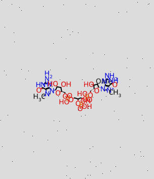 CO[C@@H]1[C@H](O)[C@@H](COP(=O)(O)OCC(COP(=O)(O)OC[C@H]2O[C@@H](N3CN(C)c4c3nc(N)[nH]c4=O)[C@H](O)[C@@H]2O)OP(=O)(O)O)O[C@H]1n1c[n+](C)c2c(=O)[nH]c(N)nc21